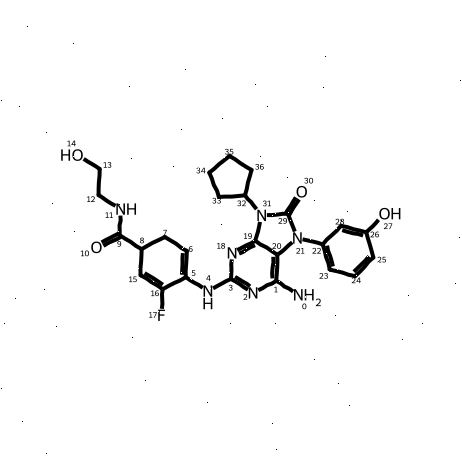 Nc1nc(NC2=CCC(C(=O)NCCO)C=C2F)nc2c1n(-c1cccc(O)c1)c(=O)n2C1CCCC1